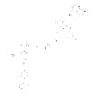 Cc1ncsc1-c1ccc(CNC(=O)[C@@H]2C[C@@H](O)CN2C(=O)C(NC(=O)COCC(=O)N2CCN(CCC(NC(=O)C3(N)CCN(c4ncnc5[nH]ccc45)CC3)c3ccc(Cl)cc3)CC2)C(C)(C)C)cc1